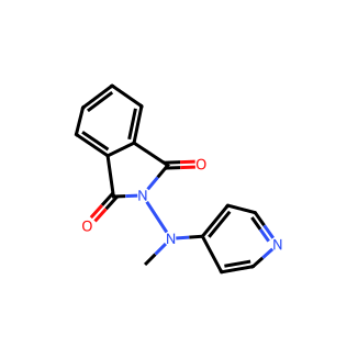 CN(c1ccncc1)N1C(=O)c2ccccc2C1=O